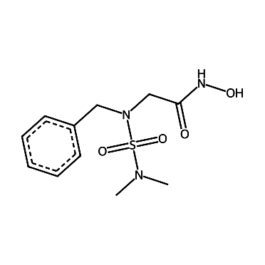 CN(C)S(=O)(=O)N(CC(=O)NO)Cc1ccccc1